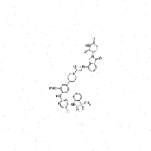 COc1cc(N2CCN(C(=O)CNc3cccc4c3CN(C3CCC(=O)NC3=O)C4=O)CC2)ccc1Nc1ncc(Cl)c(Nc2ccccc2P(C)(C)=O)n1